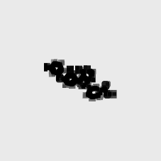 Nc1ncnc2c1c(-c1ccc(Oc3cccc(F)c3)cc1)nn2[C@@H]1CCCN(C(=O)O)C1